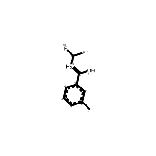 Cc1cccc(C(O)=[SH]C(F)F)c1